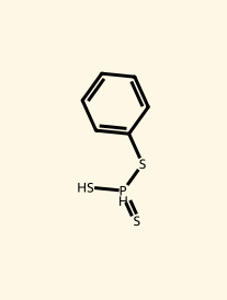 S=[PH](S)Sc1ccccc1